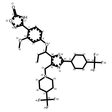 CCC(Oc1ccc(-c2noc(=O)[nH]2)c(OC)c1)c1sc(C2CCC(C(F)(F)F)CC2)nc1CN1CCC(C(F)(F)F)CC1